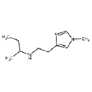 CCC(C)NCCc1cn(C)cn1